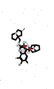 CC(C)(C)OC(=O)N1C2CCC1CN(c1nc(OCC34CCCN3C[C@H](F)C4)nc3c(F)c(Br)c(I)cc13)C2